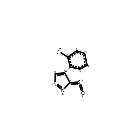 Clc1ccccc1.O=S=C1C=CN=N1